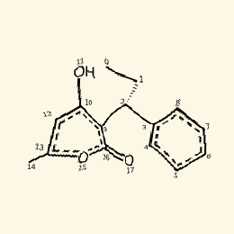 CC[C@H](c1ccccc1)c1c(O)cc(C)oc1=O